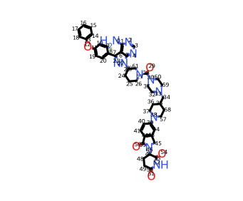 Nc1ncnc2c1c(-c1ccc(Oc3ccccc3)cc1)nn2[C@@H]1CCCN(C(=O)N2CCN(CC3CCN(c4ccc5c(c4)CN(C4CCC(=O)NC4=O)C5=O)CC3)CC2)C1